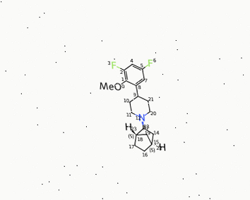 COc1c(F)cc(F)cc1C1CCN([C@H]2C[C@H]3CC[C@H]2C3)CC1